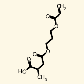 C=CC(=O)OCCCOC(=O)CC(C)C(=O)O